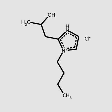 CCCC[n+]1cc[nH]c1CC(C)O.[Cl-]